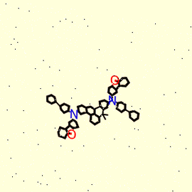 CC1(C)c2cc(N(c3ccc(-c4ccccc4)cc3)c3ccc4oc5ccccc5c4c3)ccc2-c2cc3ccc(N(c4ccc(-c5ccccc5)cc4)c4ccc5oc6ccccc6c5c4)cc3c3cccc1c23